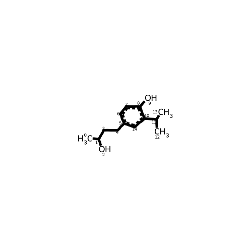 CC(O)CCc1ccc(O)c(C(C)C)c1